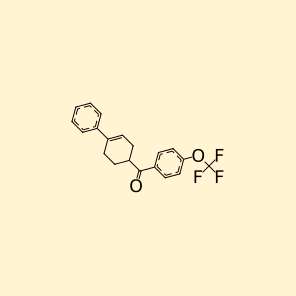 O=C(c1ccc(OC(F)(F)F)cc1)C1CC=C(c2ccccc2)CC1